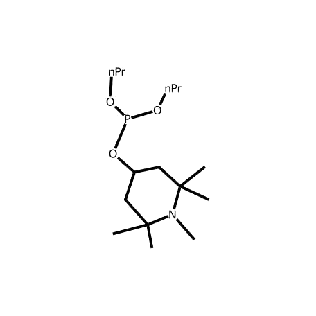 CCCOP(OCCC)OC1CC(C)(C)N(C)C(C)(C)C1